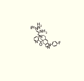 CC(C)N(N)/C=C(\N)SN1CCC2=Cc3c(cnn3-c3ccc(F)cc3)CC2(C(=O)c2ccccn2)C1